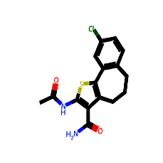 CC(=O)Nc1sc2c(c1C(N)=O)CCCc1ccc(Cl)cc1-2